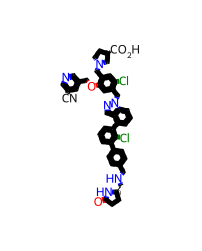 N#Cc1cncc(COc2cc(Cn3ncc4c(-c5cccc(-c6ccc(CNC[C@@H]7CCC(=O)N7)cc6)c5Cl)cccc43)c(Cl)cc2CN2CC[C@@H](C(=O)O)C2)c1